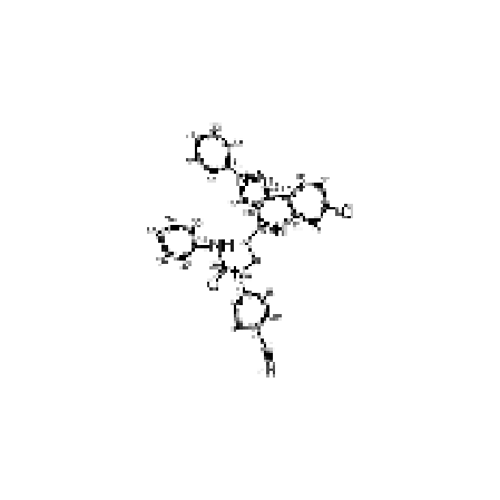 N#Cc1ccc(N(CCc2nc3cc(Cl)ccc3c3nn(-c4ccccc4)cc23)C(=O)Nc2ccccc2)cc1